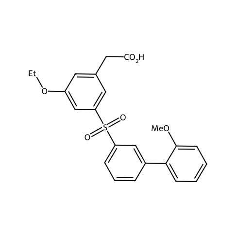 CCOc1cc(CC(=O)O)cc(S(=O)(=O)c2cccc(-c3ccccc3OC)c2)c1